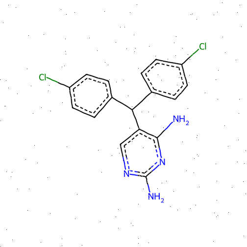 Nc1ncc(C(c2ccc(Cl)cc2)c2ccc(Cl)cc2)c(N)n1